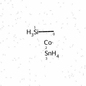 C[SiH3].[Co].[SnH4]